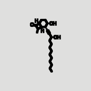 CCCCCCCCCC[C@@H](O)C#C[C@@H]1[C@H]2C(C)C(=O)[C@H]2CC[C@@H]1O